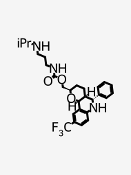 CC(C)NCCCNC(=O)OC[C@H]1CC[C@@H]2[C@H](O1)c1cc(C(F)(F)F)ccc1N[C@H]2c1ccccc1